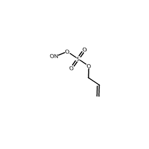 C=CCOS(=O)(=O)ON=O